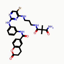 CC(C)(C(N)=O)C(=O)NCCCNc1nc(Nc2cccc(NC(=O)c3ccc4c(c3)CCC(=O)O4)c2)ncc1Br